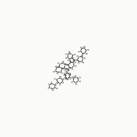 c1ccc(-c2ccc(-c3nc(-c4ccccc4)nc(-n4c5ccc6c(c7ccccc7n6-c6cccc(-c7ccccc7)c6)c5c5ccc6ccccc6c54)n3)cc2)cc1